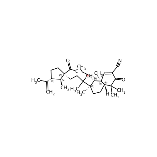 C=C(C)[C@@H]1CC[C@@](CCC(C)(C)[C@]2(C)CC[C@H]3C(C)(C)C(=O)C(C#N)=C[C@]3(C)[C@H]2CCC)(C(=O)Cl)[C@H]1C